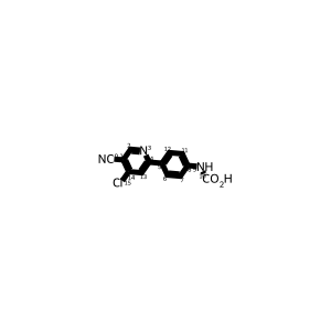 N#Cc1cnc(-c2ccc(NC(=O)O)cc2)cc1Cl